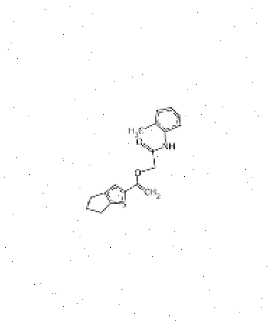 C=C(OCC(=O)Nc1ccccc1C)c1cc2c(s1)CCC2